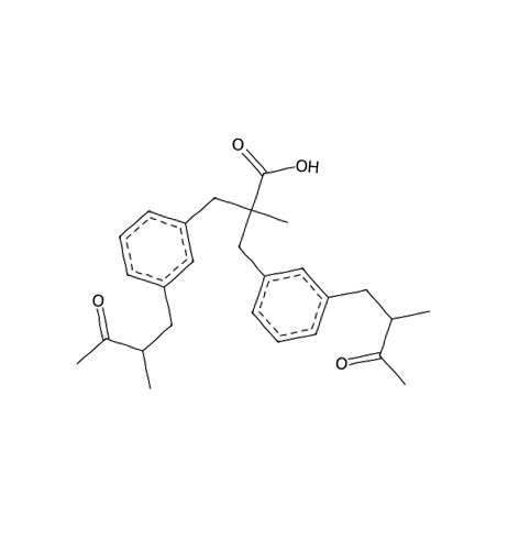 CC(=O)C(C)Cc1cccc(CC(C)(Cc2cccc(CC(C)C(C)=O)c2)C(=O)O)c1